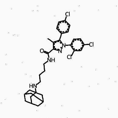 Cc1c(C(=O)NCCCCNC23CC4CC(CC(C4)C2)C3)nn(-c2ccc(Cl)cc2Cl)c1-c1ccc(Cl)cc1